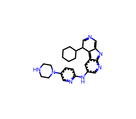 C1=NC=C2N=c3ncc(Nc4ccc(N5CCNCC5)cn4)cc3=C2C1C1CCCCC1